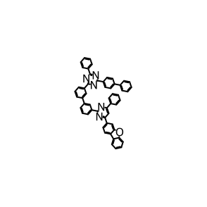 c1ccc(-c2ccc(-c3nc(-c4ccccc4)nc(-c4cccc(-c5cccc(-c6nc(-c7ccccc7)cc(-c7ccc8c(c7)oc7ccccc78)n6)c5)c4)n3)cc2)cc1